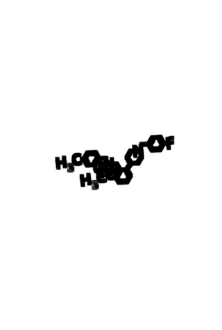 Cc1ccc(CN(Cc2ccccc2C2CCN(Cc3ccc(F)cc3)CC2)S(C)(=O)=O)cc1